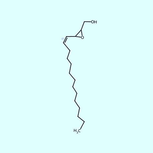 CCCCCCCCCCCC/C=C\C1OC1CO